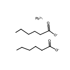 CCCCCC(=O)[O-].CCCCCC(=O)[O-].[Pb+2]